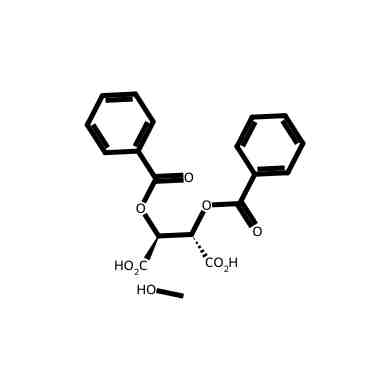 CO.O=C(O[C@H](C(=O)O)[C@H](OC(=O)c1ccccc1)C(=O)O)c1ccccc1